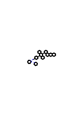 c1ccc(-n2c(-c3ccc(-c4c5ccccc5c(-c5cccc6c5ccc5cc7ccccc7cc56)c5ccccc45)cc3)nc3ccccc32)cc1